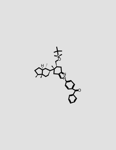 C[C@@H]1[C@@H]([C@@]2(C)Cc3cn(-c4ccc(C(=O)c5ccccc5)cc4)nc3C[C@@H]2CO[Si](C)(C)C(C)(C)C)CC[C@]2(C)[C@@H](C)CC[C@@H]12